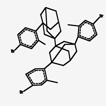 Cc1cc(Br)ccc1C12CC3CC(C1)CC(C14CC5CC(c6ccc(Br)cc6C)(CC(c6ccc(Br)cc6C)(C5)C1)C4)(C3)C2